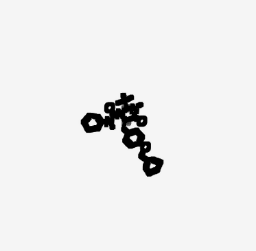 CN(C(=O)N1[C@H](C(C)(C)C)N(C)C(=O)[C@@H]1Cc1ccc(OCc2ccccc2)cc1)c1ccccc1